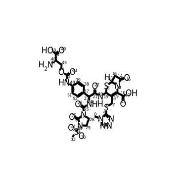 Cn1nnnc1SCC1=C(C(=O)O)N2C(=O)C[C@@H]2SC1NC(=O)C(NC(=O)N1CCN(S(C)(=O)=O)C1=O)c1ccc(NC(=O)OC[C@@H](N)C(=O)O)cc1